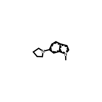 Cn1ccc2ccc(N3CCCC3)cc21